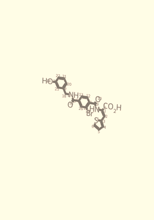 O=C(O)/C(=C/c1cccs1)NC(=O)c1ccc(C(=O)NCc2cccc(O)c2)cc1Br